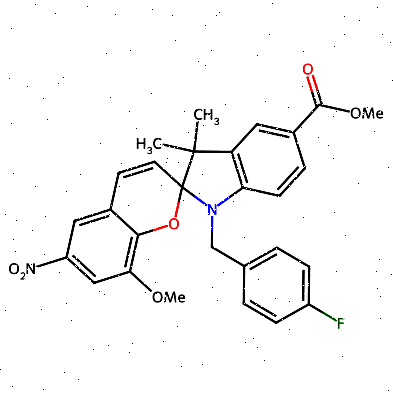 COC(=O)c1ccc2c(c1)C(C)(C)C1(C=Cc3cc([N+](=O)[O-])cc(OC)c3O1)N2Cc1ccc(F)cc1